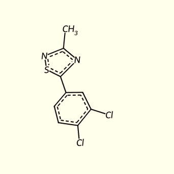 Cc1nsc(-c2ccc(Cl)c(Cl)c2)n1